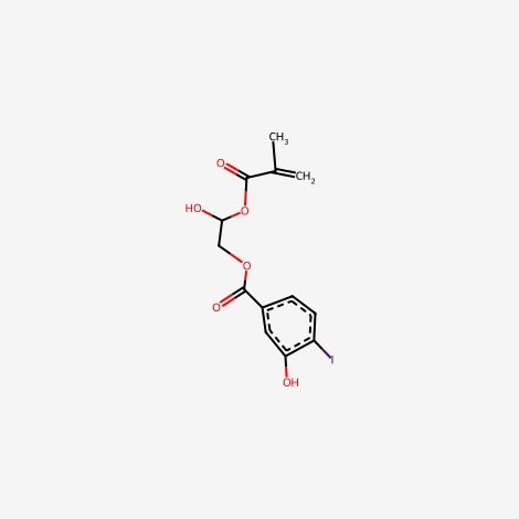 C=C(C)C(=O)OC(O)COC(=O)c1ccc(I)c(O)c1